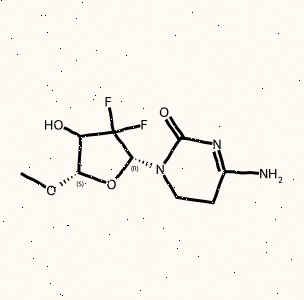 CO[C@H]1O[C@@H](N2CCC(N)=NC2=O)C(F)(F)C1O